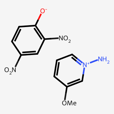 COc1ccc[n+](N)c1.O=[N+]([O-])c1ccc([O-])c([N+](=O)[O-])c1